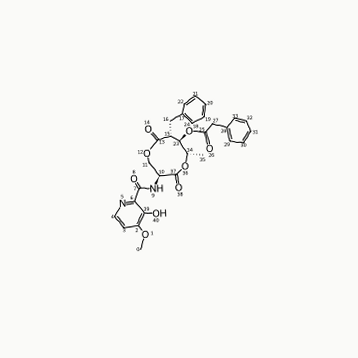 COc1ccnc(C(=O)N[C@H]2COC(=O)[C@H](Cc3ccccc3)[C@@H](OC(=O)Cc3ccccc3)[C@H](C)OC2=O)c1O